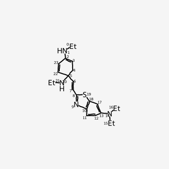 CCNC1=CCC(C=Cc2nc3ccc(N(CC)CC)cc3s2)(NCC)C=C1